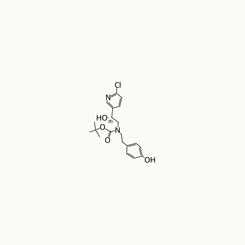 CC(C)(C)OC(=O)N(CCc1ccc(O)cc1)C[C@H](O)c1ccc(Cl)nc1